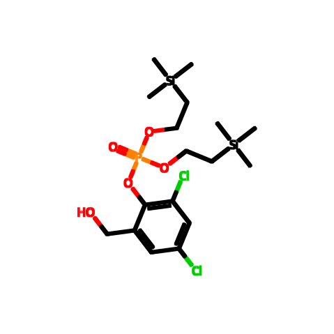 C[Si](C)(C)CCOP(=O)(OCC[Si](C)(C)C)Oc1c(Cl)cc(Cl)cc1CO